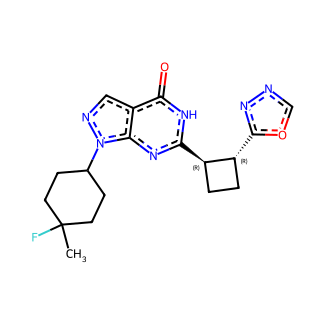 CC1(F)CCC(n2ncc3c(=O)[nH]c([C@@H]4CC[C@H]4c4nnco4)nc32)CC1